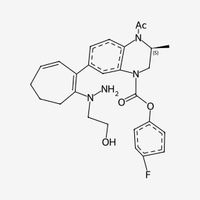 CC(=O)N1c2ccc(C3=C(N(N)CCO)CCCC=C3)cc2N(C(=O)Oc2ccc(F)cc2)C[C@@H]1C